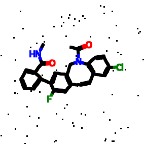 CNC(=O)c1ccccc1-c1cc2c(cc1F)/C=C\c1cc(Cl)ccc1N(C(C)=O)C2